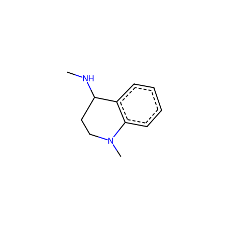 CNC1CCN(C)c2ccccc21